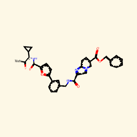 CNC(=O)[C@@H](NC(=O)c1ccc(-c2cccc(CNC(=O)c3cn4cc(C(=O)OCc5ccccc5)ccc4n3)c2)o1)C1CC1